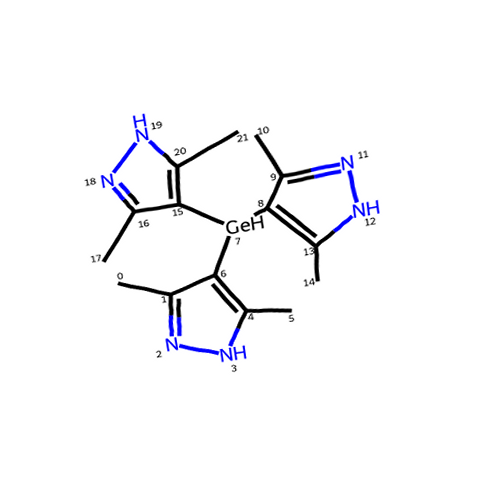 Cc1n[nH]c(C)[c]1[GeH]([c]1c(C)n[nH]c1C)[c]1c(C)n[nH]c1C